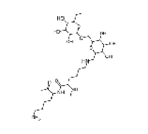 CCC1OC(OCC2OC(CNCCCCC(NC)C(=O)NC(CCCCN)C(C)=O)C(O)C(O)C2O)C(O)C(O)C1O